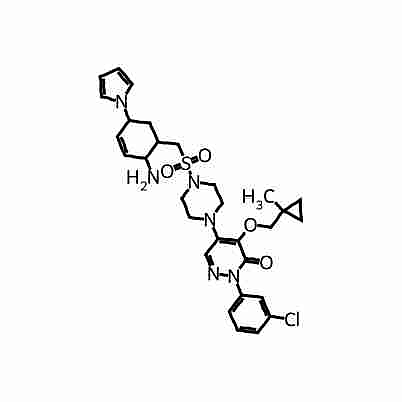 CC1(COc2c(N3CCN(S(=O)(=O)CC4CC(n5cccc5)C=CC4N)CC3)cnn(-c3cccc(Cl)c3)c2=O)CC1